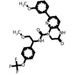 COCC(NC(=O)N1CC(=O)Nc2ccc(-c3cccc(OC)c3)nc21)c1ccc(OC(F)(F)F)cc1